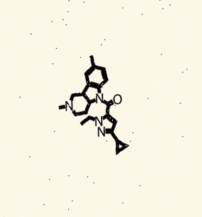 CCn1nc(C2CC2)cc1C(=O)N1c2ccc(C)cc2C2CN(C)CCC21